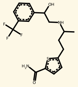 CC(CCc1ccc(C(N)=O)s1)NCC(O)c1cccc(C(F)(F)F)c1